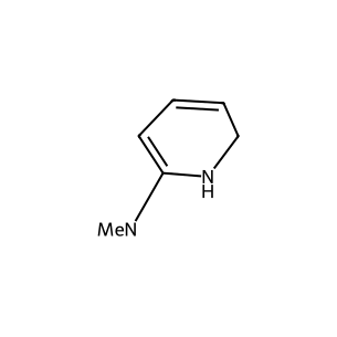 CNC1=CC=CCN1